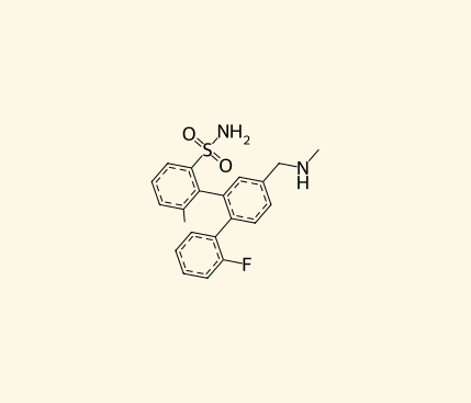 CNCc1ccc(-c2ccccc2F)c(-c2c(C)cccc2S(N)(=O)=O)c1